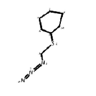 [N-]=[N+]=NCSC1CCCCC1